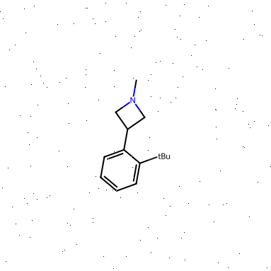 CN1CC(c2ccccc2C(C)(C)C)C1